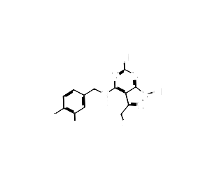 CCc1nn(C)c2nc(Cl)nc(NCc3ccc(Cl)c(Cl)c3)c12